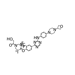 C[C@H]1CN(C(=O)CO)CC(F)(F)[C@@H]1Oc1ccc(-c2ncnc(Nc3ccc(N4CCN(C5COC5)CC4)cc3)n2)cc1C#N